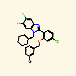 N#Cc1cccc(COc2cc(Cl)ccc2-c2nc3cc(F)c(F)cc3n2CC2CCCCC2)c1